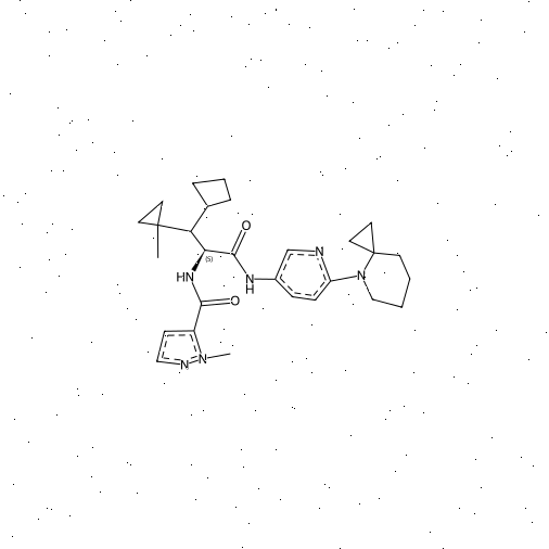 Cn1nccc1C(=O)N[C@H](C(=O)Nc1ccc(N2CCCCC23CC3)nc1)C(C1CCC1)C1(C)CC1